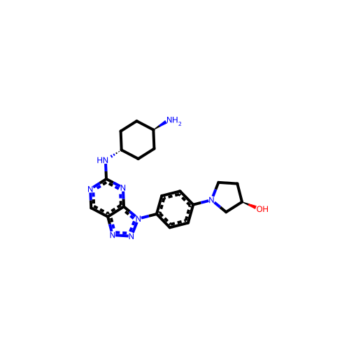 N[C@H]1CC[C@H](Nc2ncc3nnn(-c4ccc(N5CC[C@@H](O)C5)cc4)c3n2)CC1